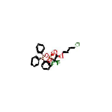 O=C(OCCCCCl)C(F)(F)S(=O)(=O)OS(c1ccccc1)(c1ccccc1)c1ccccc1